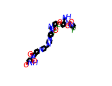 N#Cc1c(NS(=O)(=O)N2CC[C@@H](F)C2)ccc(F)c1Oc1ccc2ncn(-c3ccc(N4CCN(CC5CCN(c6ccc7c(c6)CN(C6CCC(=O)NC6=O)C7=O)CC5)CC4)cc3F)c(=O)c2c1